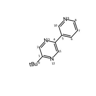 CC(C)(C)c1cnc(-c2cccnc2)cn1